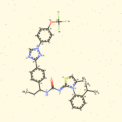 CCC(NC(=O)/N=c1\scc(C)n1-c1ccccc1C(C)C)c1ccc(-c2ncn(-c3ccc(OC(F)(F)F)cc3)n2)cc1